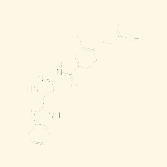 O=C(O)COc1ccc(C(=O)Nc2cc(-c3nc4ccccc4[nH]3)[nH]n2)cc1Cl